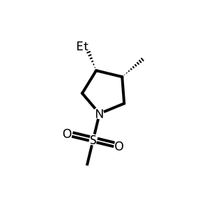 CC[C@H]1CN(S(C)(=O)=O)C[C@H]1C